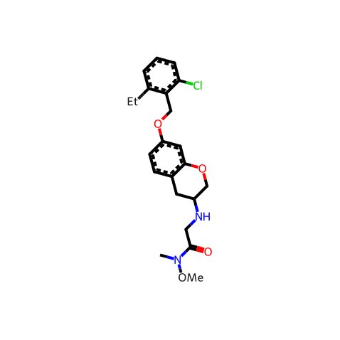 CCc1cccc(Cl)c1COc1ccc2c(c1)OCC(NCC(=O)N(C)OC)C2